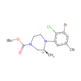 C[C@H]1CN(C(=O)OC(C)(C)C)CCN1c1cc(C#N)cc(Br)c1Cl